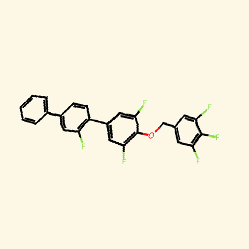 Fc1cc(-c2ccccc2)ccc1-c1cc(F)c(OCc2cc(F)c(F)c(F)c2)c(F)c1